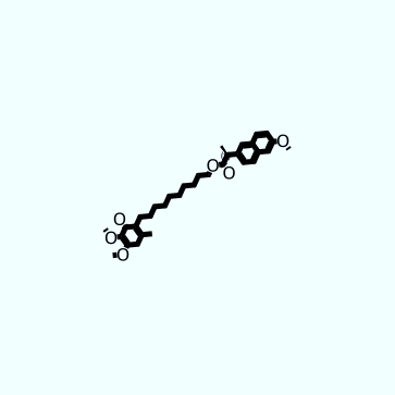 COC1=C(OC)C(=O)C(CCCCCCCCCCOC(=O)[C@@H](C)c2ccc3cc(OC)ccc3c2)=C(C)C1